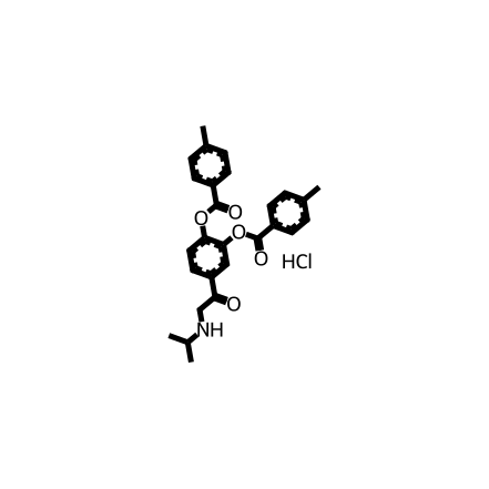 Cc1ccc(C(=O)Oc2ccc(C(=O)CNC(C)C)cc2OC(=O)c2ccc(C)cc2)cc1.Cl